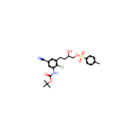 Cc1ccc(S(=O)(=O)OCC(O)CCc2cc(C#N)cc(NC(=O)OC(C)(C)C)c2Cl)cc1